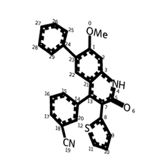 COc1cc2[nH]c(=O)c(-c3cccs3)c(-c3cccc(C#N)c3)c2cc1-c1ccccc1